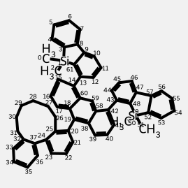 C[Si]1(C)c2ccccc2-c2cccc(-c3cccc4c(-c5cccc6c5CCCCCCc5ccccc5-6)c5cccc(-c6cccc7c6[Si](C)(C)c6ccccc6-7)c5cc34)c21